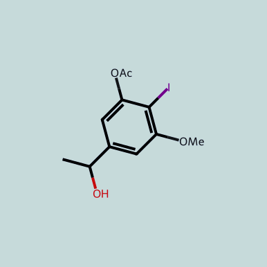 COc1cc(C(C)O)cc(OC(C)=O)c1I